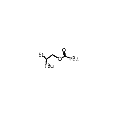 [CH2]CCCC(=O)OCC(CC)CCCC